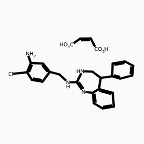 Nc1cc(CNC2=Nc3ccccc3C(c3ccccc3)CN2)ccc1Cl.O=C(O)/C=C\C(=O)O